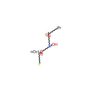 CCCCCCCCC(CCCCCCCCF)C(=O)OCCCCCCCN(CCO)CCCCCCCOC(=O)C(C)CCCCCCCC(C)C